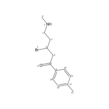 CNCCC(Br)CC(=O)c1ccc(C)cc1